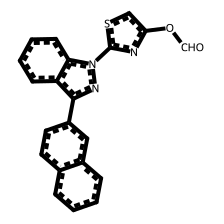 O=COc1csc(-n2nc(-c3ccc4ccccc4c3)c3ccccc32)n1